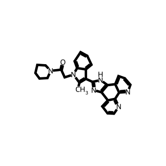 Cc1c(-c2nc3c4cccnc4c4ncccc4c3[nH]2)c2ccccc2n1CC(=O)N1CCCCC1